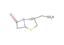 O=C1CC2SCC(CS(=O)(=O)O)=CN12